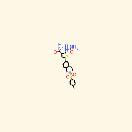 Cc1ccc(S(=O)(=O)N2CCc3cc(-c4cc(C(N)=O)c(NC(N)=O)s4)ccc3C2)cc1